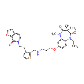 CCN1C(=O)C(C)(C)C(=O)N(C)c2cc(OCCCNCc3sccc3CCn3ccc4ccoc4c3=O)ccc21